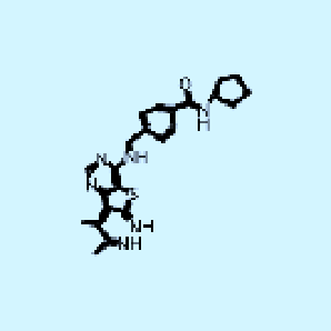 CC(=N)/C(C)=C1\C(=N)Sc2c(NCc3ccc(C(=O)NC4CCCC4)cc3)ncnc21